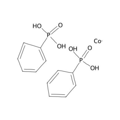 O=P(O)(O)c1ccccc1.O=P(O)(O)c1ccccc1.[Co]